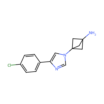 NC12CC(n3cnc(-c4ccc(Cl)cc4)c3)(C1)C2